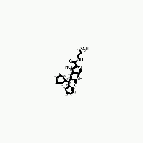 O=C(O)CCNC(=O)c1ncc2[nH]c(=O)c(C(c3ccccc3)c3ccccc3)cc2c1O